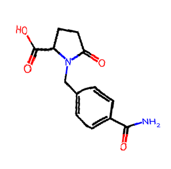 NC(=O)c1ccc(CN2C(=O)CCC2C(=O)O)cc1